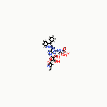 CCc1cc([C@H]2O[C@@H](n3cnc4c(NCC(c5ccccc5)c5ccccc5)nc(NCCO)nc43)[C@H](O)[C@@H]2O)on1.O=CO